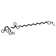 CCCCCCCCCCCCCCOC(=O)CC[C@@]1(CO)CCC(=O)O1